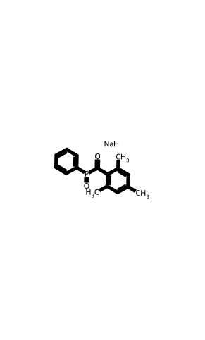 Cc1cc(C)c(C(=O)[P](=O)c2ccccc2)c(C)c1.[NaH]